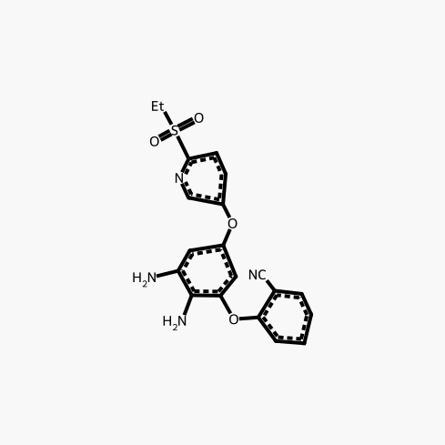 CCS(=O)(=O)c1ccc(Oc2cc(N)c(N)c(Oc3ccccc3C#N)c2)cn1